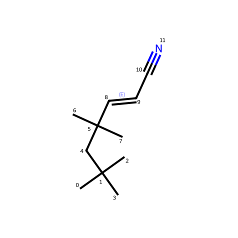 CC(C)(C)CC(C)(C)/C=C/C#N